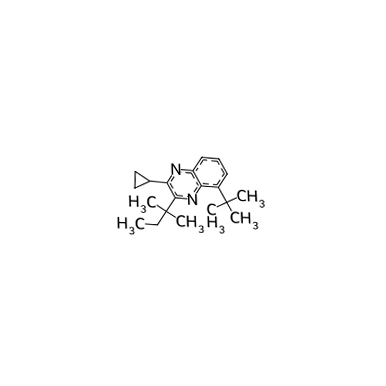 CCC(C)(C)c1nc2c(C(C)(C)C)cccc2nc1C1CC1